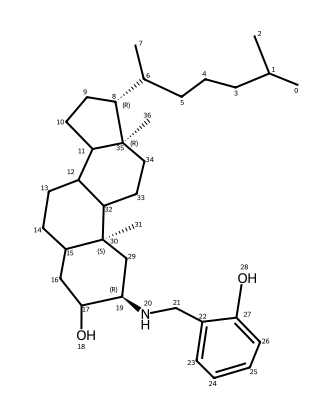 CC(C)CCCC(C)[C@H]1CCC2C3CCC4CC(O)[C@H](NCc5ccccc5O)C[C@]4(C)C3CC[C@@]21C